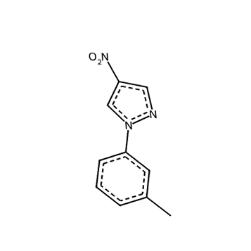 Cc1cccc(-n2cc([N+](=O)[O-])cn2)c1